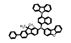 CC1(C)c2cc(-c3ccccc3)ccc2-c2ccc(N(c3ccc4oc5ccccc5c4c3)c3ccc(-n4c5ccccc5c5ccccc54)c4ccccc34)cc21